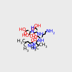 CC(C)C[C@H](N)C(=O)N[C@H](C(=O)N[C@@H](CCCCN)C(=O)N[C@@H](CC(=O)O)C(=O)N[C@@H](CC(=O)O)C(=O)O)C(C)C